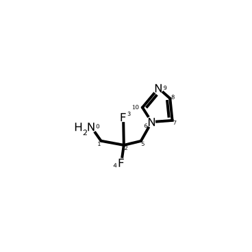 NCC(F)(F)Cn1ccnc1